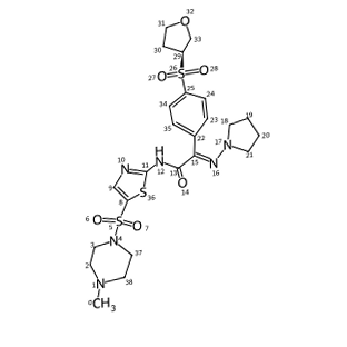 CN1CCN(S(=O)(=O)c2cnc(NC(=O)/C(=N/N3CCCC3)c3ccc(S(=O)(=O)[C@H]4CCOC4)cc3)s2)CC1